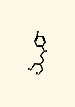 CCN(CC)CCNc1cnc(Br)cn1